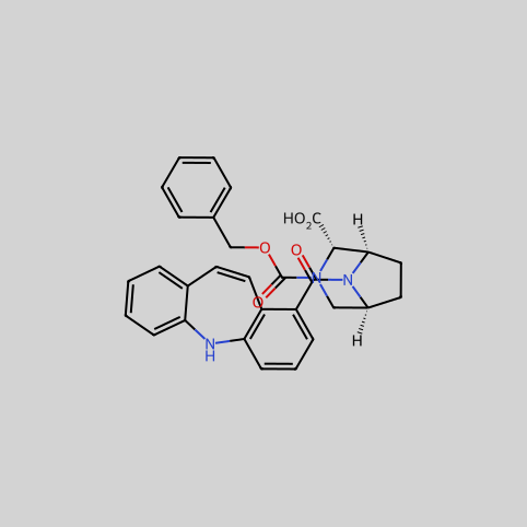 O=C(O)[C@@H]1[C@H]2CC[C@@H](CN1C(=O)OCc1ccccc1)N2C(=O)c1cccc2c1C=Cc1ccccc1N2